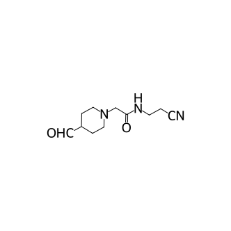 N#CCCNC(=O)CN1CCC(C=O)CC1